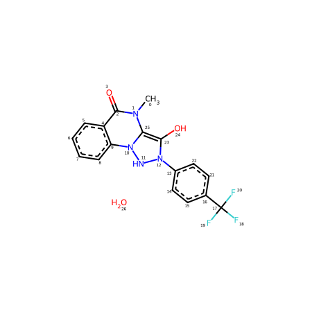 CN1C(=O)c2ccccc2N2NN(c3ccc(C(F)(F)F)cc3)C(O)=C12.O